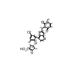 Cc1cc(Cl)cc(-c2ccnc3cc(Cn4c(=O)ccn(C)c4=O)sc23)c1O[C@@H]1CN[C@@H](C(=O)O)C1